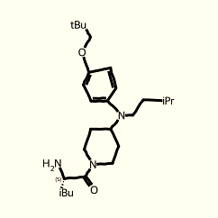 CCC(C)[C@H](N)C(=O)N1CCC(N(CCC(C)C)c2ccc(OCC(C)(C)C)cc2)CC1